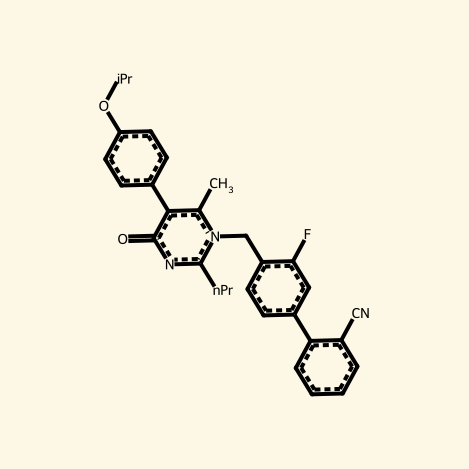 CCCc1nc(=O)c(-c2ccc(OC(C)C)cc2)c(C)n1Cc1ccc(-c2ccccc2C#N)cc1F